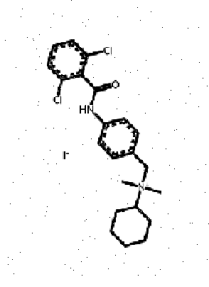 C[N+](C)(Cc1ccc(NC(=O)c2c(Cl)cccc2Cl)cc1)C1CCCCC1.[I-]